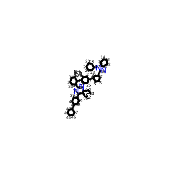 CCc1cc(-c2cccc(-c3nc4ccccc4n3-c3ccccc3)c2)ccc1-c1c(CC)cccc1-c1nc(-c2ccc(-c3ccccc3)cc2)c2ccccc2n1